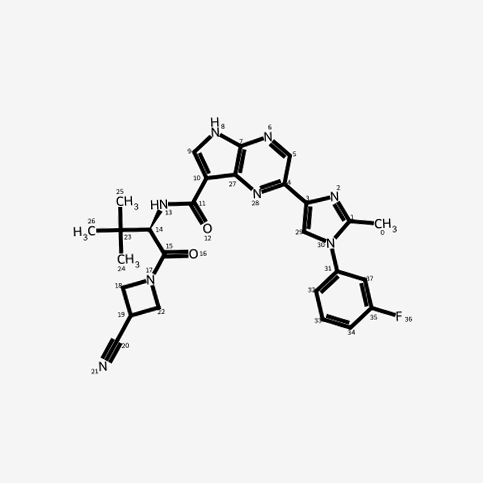 Cc1nc(-c2cnc3[nH]cc(C(=O)N[C@@H](C(=O)N4CC(C#N)C4)C(C)(C)C)c3n2)cn1-c1cccc(F)c1